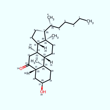 CCCCC[C@@H](C)[C@H]1CC[C@H]2[C@@H]3CC(=O)[C@H]4C[C@H](O)CC[C@]4(C)[C@H]3CC[C@]12C